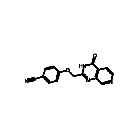 N#Cc1ccc(OCc2nc3cnccc3c(=O)[nH]2)cc1